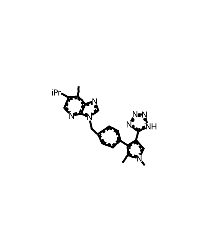 Cc1c(C(C)C)cnc2c1ncn2Cc1ccc(-c2c(-c3nnn[nH]3)cn(C)c2C)cc1